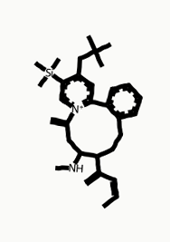 C=C(/C=C\C)C1CCc2ccccc2-c2cc(CC(C)(C)C)c([Si](C)(C)C)c[n+]2C(=C)CC1NC